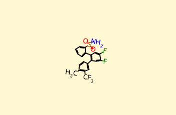 Cc1ccc(-c2cc(F)c(F)cc2-c2ccccc2S(N)(=O)=O)cc1C(F)(F)F